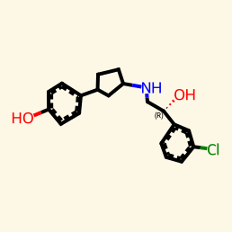 Oc1ccc(C2CCC(NC[C@H](O)c3cccc(Cl)c3)C2)cc1